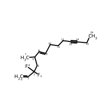 C=CC(F)(F)CC(C)/C=C/CCCC#CCC